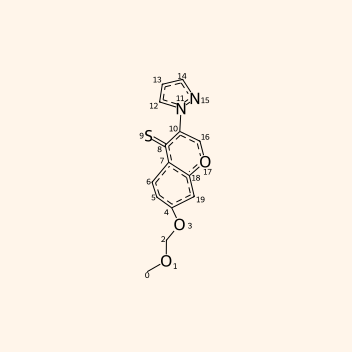 COCOc1ccc2c(=S)c(-n3cccn3)coc2c1